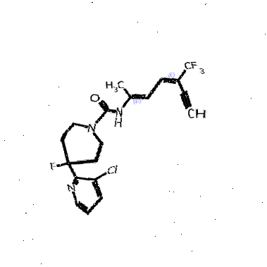 C#C/C(=C\C=C(/C)NC(=O)N1CCC(F)(c2ncccc2Cl)CC1)C(F)(F)F